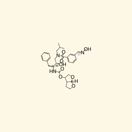 CC(C)CN(C[C@@H](O)[C@H](Cc1ccccc1)NC(=O)OC1CO[C@H]2OCCC12)S(=O)(=O)c1cccc(/C=N/O)c1